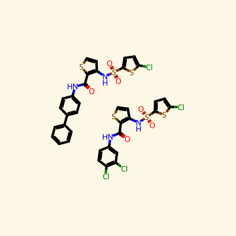 O=C(Nc1ccc(-c2ccccc2)cc1)c1sccc1NS(=O)(=O)c1ccc(Cl)s1.O=C(Nc1ccc(Cl)c(Cl)c1)c1sccc1NS(=O)(=O)c1ccc(Cl)s1